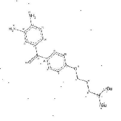 CCCCN(CCCC)CCCOc1ccc(C(=O)c2ccc(N)c(N)c2)cc1